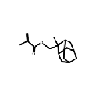 C=C(C)C(=O)OCC1(C)C2CC3CC(C2)CC1C3